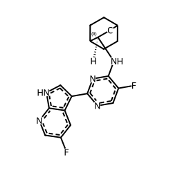 Fc1cnc2[nH]cc(-c3ncc(F)c(N[C@@H]4CC5CCC4CC5)n3)c2c1